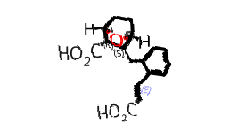 O=C(O)/C=C/c1ccccc1C[C@H]1[C@@H](C(=O)O)[C@@H]2CC[C@H]1O2